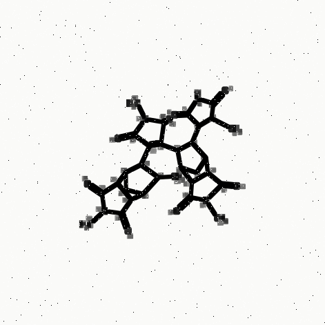 CC1C(=O)NC(=O)C1C1C2CC(C3C(=O)N(C)C(=O)C23)C1C1=C(C2C(C)C3CC2C2C(=O)N(C)C(=O)C32)C(=O)N(C)C1=O